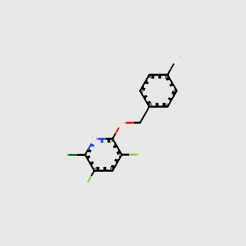 N#Cc1ccc(COc2nc(Cl)c(F)cc2F)cc1